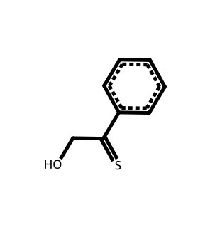 OCC(=S)c1ccccc1